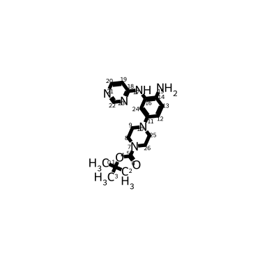 CC(C)(C)OC(=O)N1CCN(c2ccc(N)c(Nc3ccncn3)c2)CC1